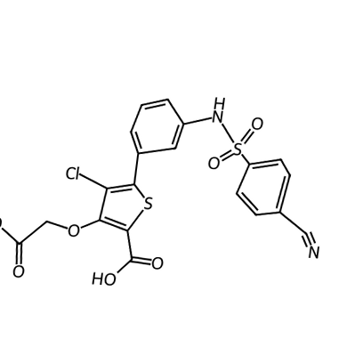 N#Cc1ccc(S(=O)(=O)Nc2cccc(-c3sc(C(=O)O)c(OCC(=O)O)c3Cl)c2)cc1